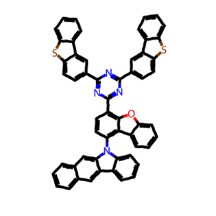 c1ccc2cc3c(cc2c1)c1ccccc1n3-c1ccc(-c2nc(-c3ccc4sc5ccccc5c4c3)nc(-c3ccc4sc5ccccc5c4c3)n2)c2oc3ccccc3c12